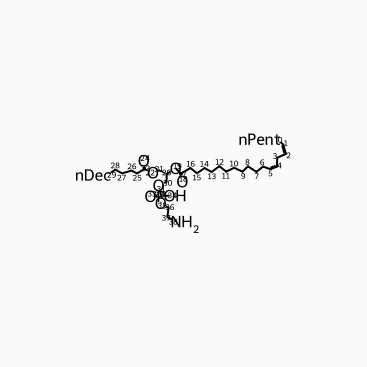 CCCCC/C=C\C/C=C\CCCCCCCCCCCC(=O)O[C@H](COC(=O)CCCCCCCCCCCCCC)COP(=O)(O)OCCN